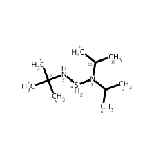 CC(C)N([SiH2]NC(C)(C)C)C(C)C